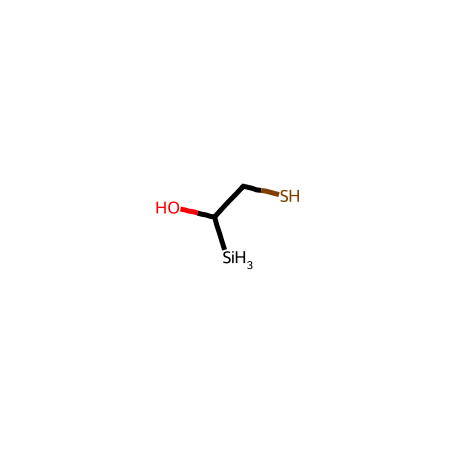 OC([SiH3])CS